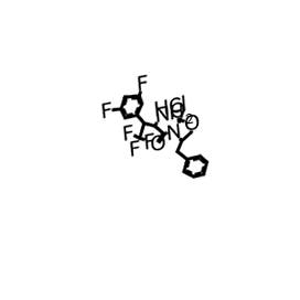 Cl.NC(C(=O)N1C(=O)OCC1Cc1ccccc1)C(c1cc(F)cc(F)c1)C(F)(F)F